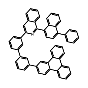 c1ccc(-c2ccc(-c3nc(-c4cccc(-c5cccc(-c6ccc7c8ccccc8c8ccccc8c7c6)c5)c4)cc4ccccc34)c3ccccc23)cc1